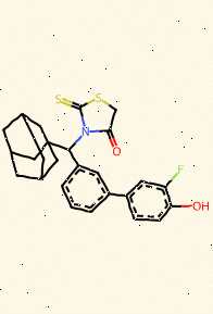 O=C1CSC(=S)N1C(c1cccc(-c2ccc(O)c(F)c2)c1)C12CC3CC(CC(C3)C1)C2